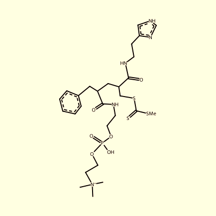 CSC(=S)SCC(CC(Cc1ccccc1)C(=O)NCCOP(=O)(O)OCC[N+](C)(C)C)C(=O)NCCc1c[nH]cn1